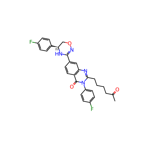 CC(=O)CCCCc1nc2cc(C3=NOC[C@H](c4ccc(F)cc4)N3)ccc2c(=O)n1-c1ccc(F)cc1